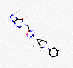 C[C@H]1[C@@H]2[C@H](CN1c1cccc(Cl)c1)[C@H]2c1noc(Cn2cnc3ncn(C)c3c2=O)n1